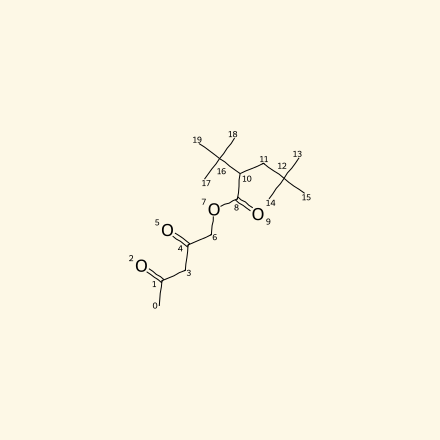 CC(=O)CC(=O)COC(=O)C(CC(C)(C)C)C(C)(C)C